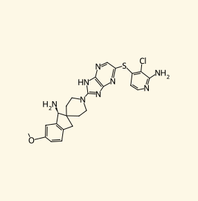 COc1ccc2c(c1)[C@@H](N)C1(CCN(c3nc4nc(Sc5ccnc(N)c5Cl)cnc4[nH]3)CC1)C2